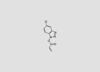 C=CC(=O)On1nnc2cc(Cl)ccc21